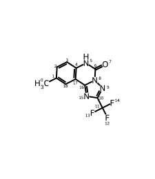 Cc1ccc2[nH]c(=O)n3nc(C(F)(F)F)nc3c2c1